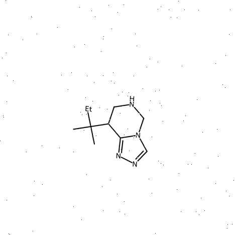 CCC(C)(C)C1CNCn2cnnc21